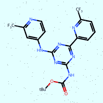 CC(C)(C)OC(=O)Nc1nc(Nc2ccnc(C(F)(F)F)c2)nc(-c2cccc(C(F)(F)F)n2)n1